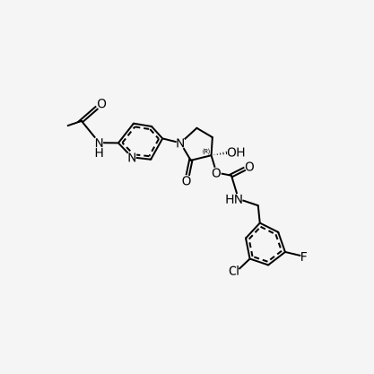 CC(=O)Nc1ccc(N2CC[C@@](O)(OC(=O)NCc3cc(F)cc(Cl)c3)C2=O)cn1